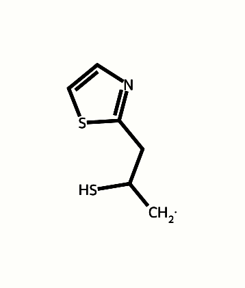 [CH2]C(S)Cc1nccs1